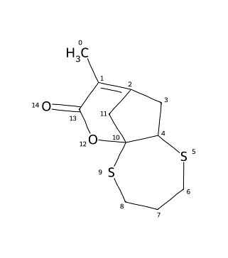 CC1=C2CC3SCCCSC3(C2)OC1=O